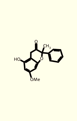 COc1cc(O)c2c(c1)OC(C)(c1ccccc1)C(=O)C2